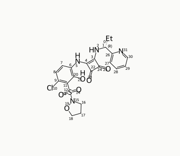 CC[C@@H](Nc1c(Nc2ccc(Cl)c(S(=O)(=O)N3CCCO3)c2O)c(=O)c1=O)c1ccccn1